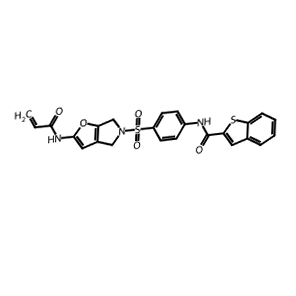 C=CC(=O)Nc1cc2c(o1)CN(S(=O)(=O)c1ccc(NC(=O)c3cc4ccccc4s3)cc1)C2